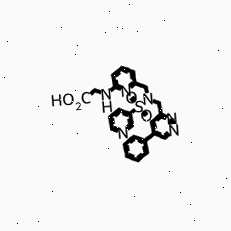 O=C(O)CNc1cccc(CN(Cc2cc(-c3ccccc3)cnn2)S(=O)(=O)c2cccnc2)n1